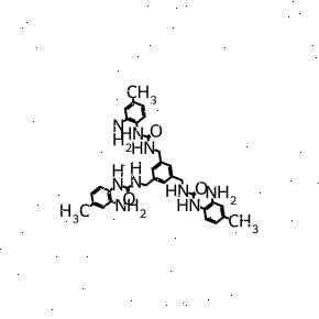 Cc1ccc(NC(=O)NCc2cc(CNC(=O)Nc3ccc(C)cc3N)cc(CNC(=O)Nc3ccc(C)cc3N)c2)c(N)c1